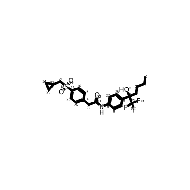 CCCCC(O)(c1ccc(NC(=O)Cc2ccc(S(=O)(=O)CC3CC3)cc2)cc1)C(F)(F)F